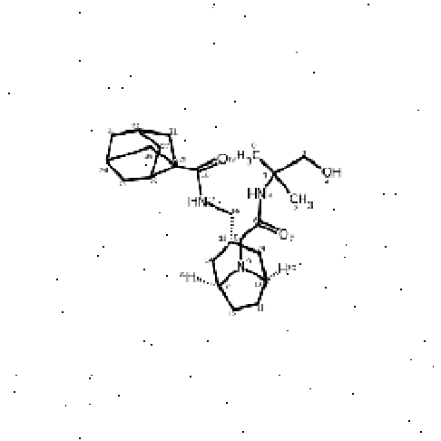 CC(C)(CO)NC(=O)CN1[C@@H]2CC[C@H]1C[C@H](CNC(=O)C13CC4CC(CC1C4)C3)C2